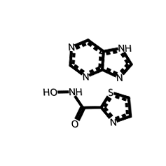 O=C(NO)c1nccs1.c1ncc2[nH]cnc2n1